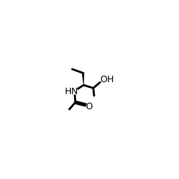 CC[C@H](NC(C)=O)C(C)O